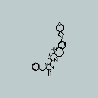 O=C(N[C@@H]1CCc2ccc(N3CC4(CCOCC4)C3)cc2NC1=O)c1n[nH]c(Cc2ccccc2)n1